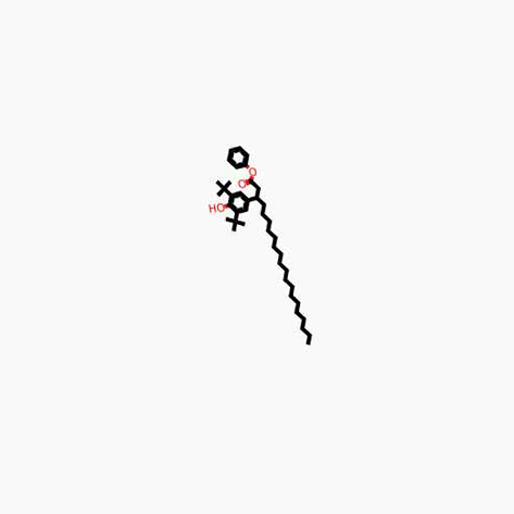 CCCCCCCCCCCCCCCCCCC(CC(=O)Oc1ccccc1)c1cc(C(C)(C)C)c(O)c(C(C)(C)C)c1